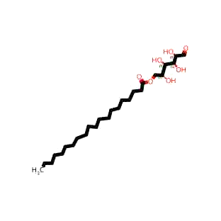 CCCCCCCCCCCCCCCCCCCC(=O)OC[C@@H](O)[C@@H](O)[C@H](O)[C@@H](O)C=O